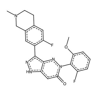 COc1cccc(F)c1-n1nc2c(-c3cc4c(cc3F)CCN(C)C4)n[nH]c2cc1=O